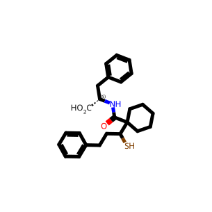 O=C(O)[C@H](Cc1ccccc1)NC(=O)C1(C(S)CCc2ccccc2)CCCCC1